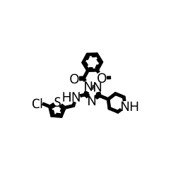 COc1ccccc1C(=O)n1nc(C2CCNCC2)nc1NCc1ccc(Cl)s1